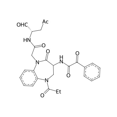 CCC(=O)N1CC(NC(=O)C(=O)c2ccccc2)C(=O)N(CC(=O)N[C@H](C=O)CC(C)=O)c2ccccc21